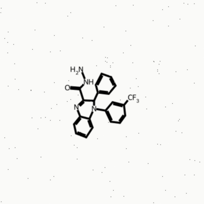 NNC(=O)C1=Nc2ccccc2N(c2cccc(C(F)(F)F)c2)C1c1ccccc1